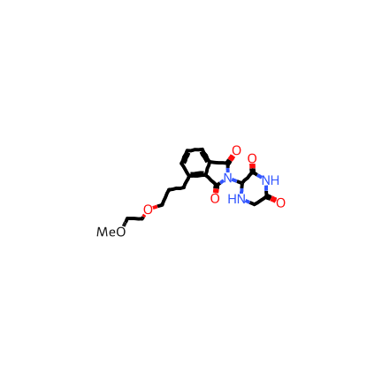 COCCOCCCc1cccc2c1C(=O)N(C1NCC(=O)NC1=O)C2=O